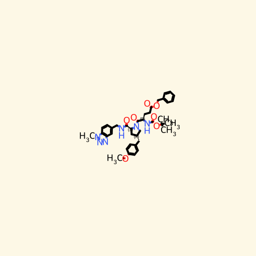 COc1ccc(C[C@@H]2C[C@@H](C(=O)NCc3ccc4c(c3)nnn4C)N(C(=O)[C@@H](CCC(=O)OCc3ccccc3)NC(=O)OC(C)(C)C)C2)cc1